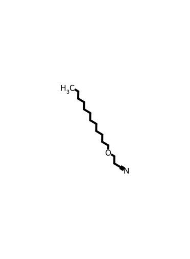 CCCCCCCCCCCCOCCC#N